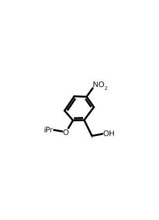 CC(C)Oc1ccc([N+](=O)[O-])cc1[CH]O